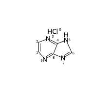 Cl.c1cnc2[nH]cnc2n1